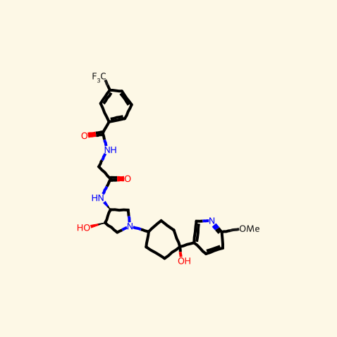 COc1ccc(C2(O)CCC(N3C[C@@H](O)[C@@H](NC(=O)CNC(=O)c4cccc(C(F)(F)F)c4)C3)CC2)cn1